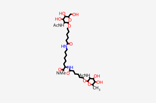 CNC(=O)C(CCCCCCNC(=O)CCCCCOC1OC(CO)C(O)C(O)C1NC(C)=O)NC(=O)CCCCCOC1OC(C)C(O)C(O)C1NC(C)=O